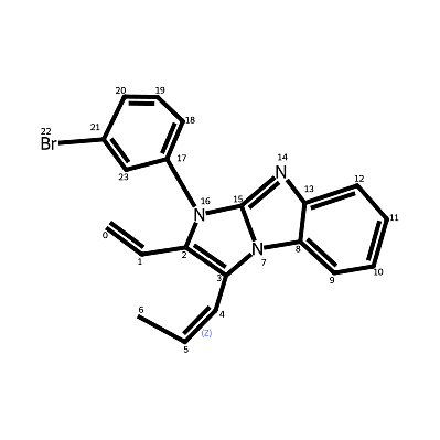 C=Cc1c(/C=C\C)n2c3ccccc3nc2n1-c1cccc(Br)c1